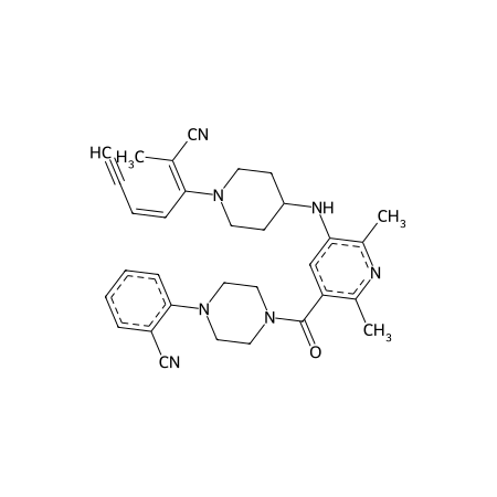 C#C/C=C\C(=C(/C)C#N)N1CCC(Nc2cc(C(=O)N3CCN(c4ccccc4C#N)CC3)c(C)nc2C)CC1